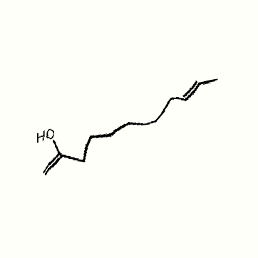 C=C(O)CCCCCCC=CC